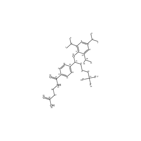 CC(C)c1cc(C(C)C)c(OC(CCCC(F)(F)F)c2ccc(C(=O)NCCC(=O)O)cc2)c(C(C)C)c1